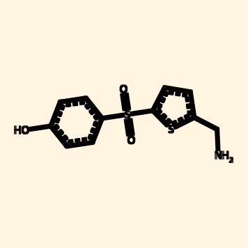 NCc1ccc(S(=O)(=O)c2ccc(O)cc2)s1